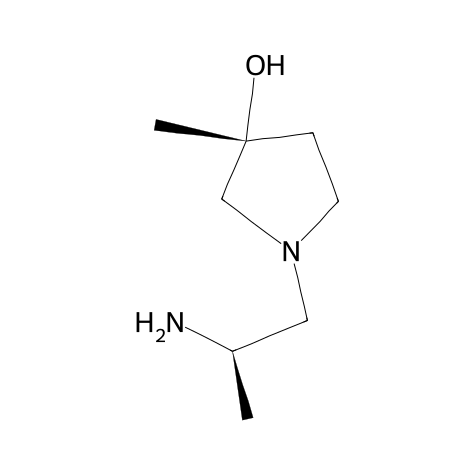 C[C@@H](N)CN1CC[C@@](C)(O)C1